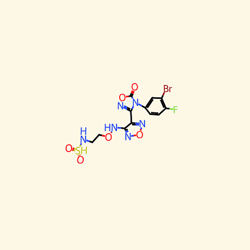 O=c1onc(-c2nonc2NOCCN[SH](=O)=O)n1-c1ccc(F)c(Br)c1